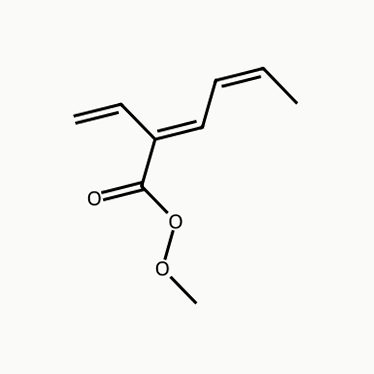 C=C/C(=C\C=C/C)C(=O)OOC